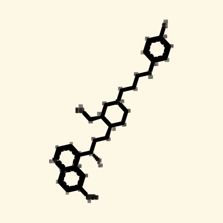 COc1ccc2nccc([C@@H](F)CC[C@@H]3CCN(CCCSc4ccc(Cl)cc4)C[C@@H]3CO)c2c1